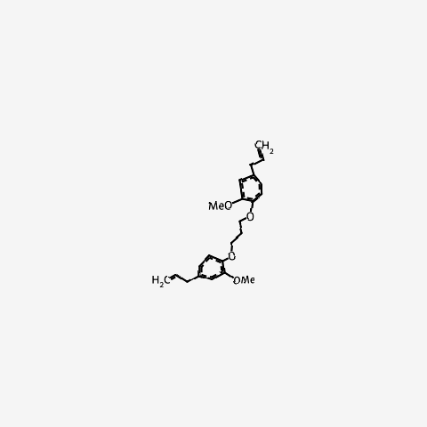 C=CCc1ccc(OCCCOc2ccc(CC=C)cc2OC)c(OC)c1